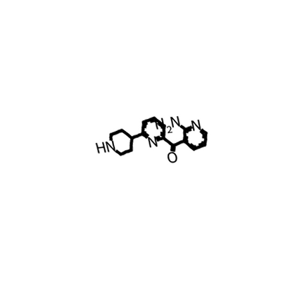 Nc1ncccc1C(=O)c1cccc(C2CCNCC2)n1